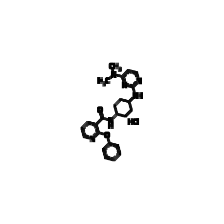 CN(C)c1ccnc(NC2CCC(NC(=O)c3cccnc3Oc3ccccc3)CC2)n1.Cl